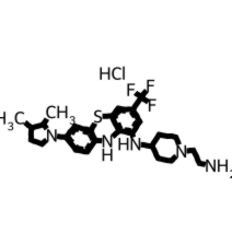 CC1CCN(c2ccc3c(c2)Sc2cc(C(F)(F)F)cc(NC4CCN(CCN)CC4)c2N3)C1C.Cl